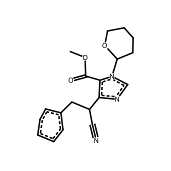 COC(=O)c1c(C(C#N)Cc2ccccc2)ncn1C1CCCCO1